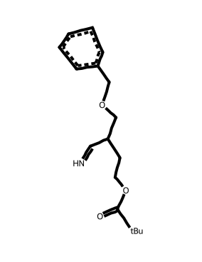 CC(C)(C)C(=O)OCCC(C=N)COCc1ccccc1